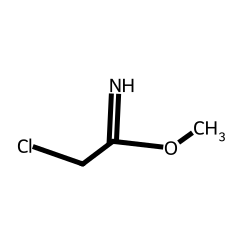 COC(=N)CCl